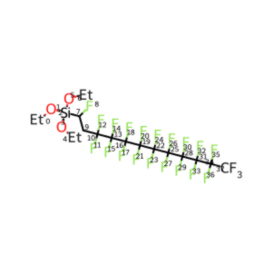 CCO[Si](OCC)(OCC)C(F)CC(F)(F)C(F)(F)C(F)(F)C(F)(F)C(F)(F)C(F)(F)C(F)(F)C(F)(F)C(F)(F)C(F)(F)F